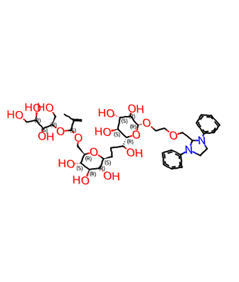 C=C(C)[C@@H](OC[C@H]1O[C@@H](CCC(O)[C@H]2O[C@@H](OCCOCC3N(c4ccccc4)CCN3c3ccccc3)[C@H](O)[C@@H](O)[C@@H]2O)[C@H](O)[C@@H](O)[C@@H]1O)O[C@H](CO)[C@@H](O)[C@H](O)CO